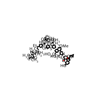 C=CCC1(CC(C)C)C(=O)NC(=O)NC1=O.CC(CN1c2ccccc2Sc2ccccc21)N(C)C.CC[C@@H](c1cccc(O)c1)[C@@H](C)CN(C)C.COc1ccc2cc([C@H](C)C(=O)O)ccc2c1.Cn1c(=O)c2c(ncn2C)n(C)c1=O.O=C(O)c1cccnc1.O=C1CC[C@@]2(O)[C@H]3Cc4ccc(O)c5c4[C@@]2(CCN3CC2CC2)[C@H]1O5